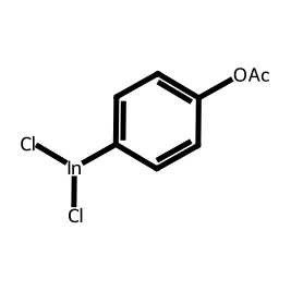 CC(=O)Oc1cc[c]([In]([Cl])[Cl])cc1